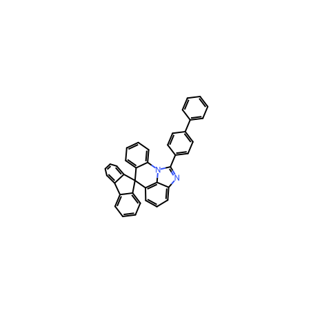 c1ccc(-c2ccc(-c3nc4cccc5c4n3-c3ccccc3C53c4ccccc4-c4ccccc43)cc2)cc1